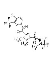 Cc1c(S(=O)(=O)NN(C)C(F)(F)F)cc(C(=O)Nc2ccc(F)c(C(F)(F)F)c2)n1C